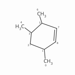 CC1[CH]C(C)C(C)C=C1